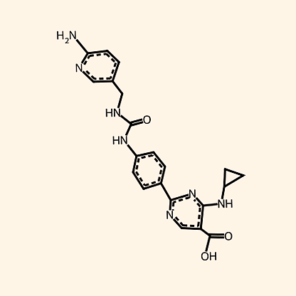 Nc1ccc(CNC(=O)Nc2ccc(-c3ncc(C(=O)O)c(NC4CC4)n3)cc2)cn1